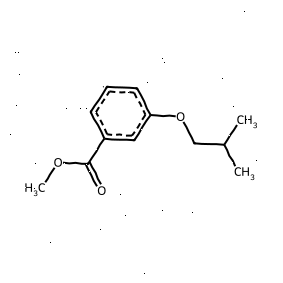 COC(=O)c1c[c]cc(OCC(C)C)c1